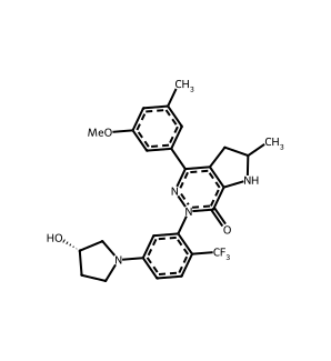 COc1cc(C)cc(-c2nn(-c3cc(N4CC[C@H](O)C4)ccc3C(F)(F)F)c(=O)c3c2CC(C)N3)c1